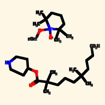 CC(C)(CCCC(=O)O)CCCC(C)(C)C(=O)OC1CCNCC1.CCCCCCCCO[N+]1([O])C(C)(C)CCCC1(C)C